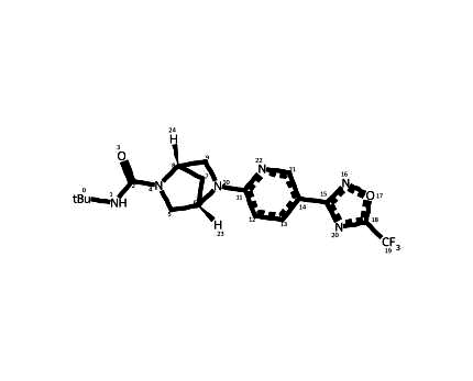 CC(C)(C)NC(=O)N1C[C@@H]2C[C@H]1CN2c1ccc(-c2noc(C(F)(F)F)n2)cn1